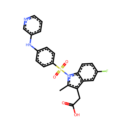 Cc1c(CC(=O)O)c2cc(F)ccc2n1S(=O)(=O)c1ccc(Nc2cccnc2)cc1